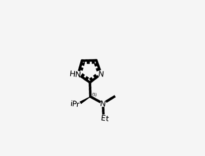 CCN(C)[C@H](c1ncc[nH]1)C(C)C